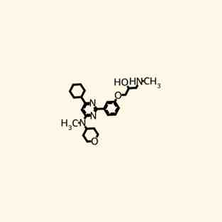 CNCC(O)COc1cccc(-c2nc(C3CCCCC3)cc(N(C)C3CCOCC3)n2)c1